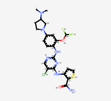 CN(C)C1CCN(c2ccc(Nc3ncc(Cl)c(Nc4ccsc4C(N)=O)n3)c(OC(F)F)c2)C1